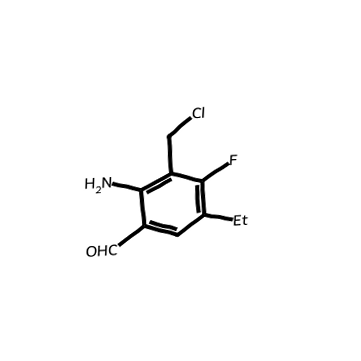 CCc1cc(C=O)c(N)c(CCl)c1F